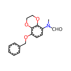 CN(C=O)c1ccc(OCc2ccccc2)c2c1OCCO2